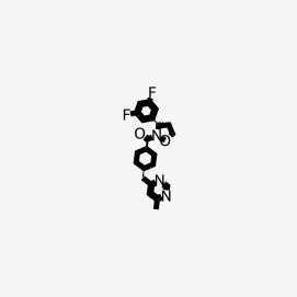 Cc1cc(C[C@H]2CC[C@H](C(=O)N3OCC[C@H]3c3cc(F)cc(F)c3)CC2)ncn1